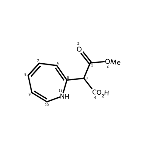 COC(=O)C(C(=O)O)C1=CC=CC=CN1